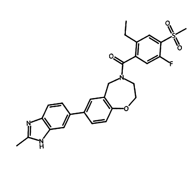 CCc1cc(S(C)(=O)=O)c(F)cc1C(=O)N1CCOc2ccc(-c3ccc4nc(C)[nH]c4c3)cc2C1